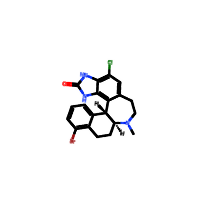 CN1CCc2cc(Cl)c3[nH]c(=O)[nH]c3c2[C@H]2c3cccc(Br)c3CC[C@@H]21